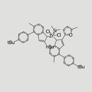 CCCCC1=Cc2c(ccc(C)c2-c2ccc(C(C)(C)C)cc2)[CH]1[Zr]([Cl])([Cl])([CH]1C(c2ccc(C)o2)=Cc2c1ccc(C)c2-c1ccc(C(C)(C)C)cc1)=[Si](C)C